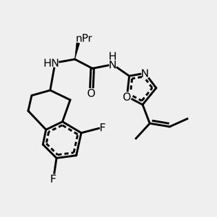 C/C=C(/C)c1cnc(NC(=O)[C@H](CCC)NC2CCc3cc(F)cc(F)c3C2)o1